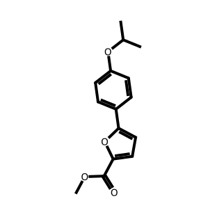 COC(=O)c1ccc(-c2ccc(OC(C)C)cc2)o1